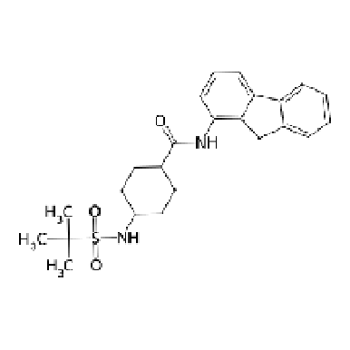 CC(C)(C)S(=O)(=O)NC1CCC(C(=O)Nc2cccc3c2Cc2ccccc2-3)CC1